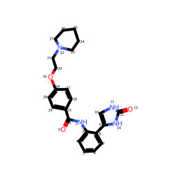 O=C(Nc1ccccc1-c1c[nH]c(=O)[nH]1)c1ccc(OCCN2CCCCC2)cc1